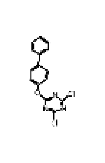 Clc1nc(Cl)nc(Oc2ccc(-c3ccccc3)cc2)n1